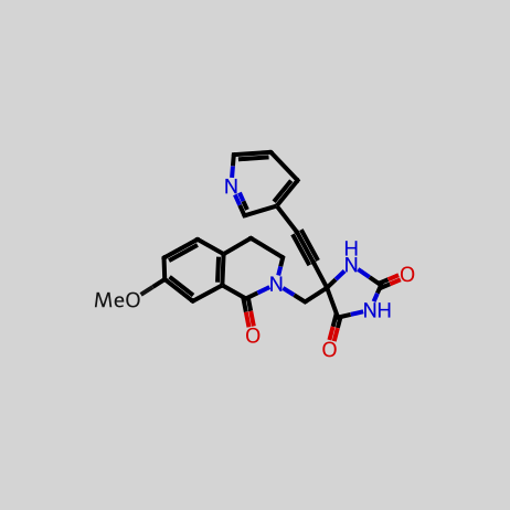 COc1ccc2c(c1)C(=O)N(CC1(C#Cc3cccnc3)NC(=O)NC1=O)CC2